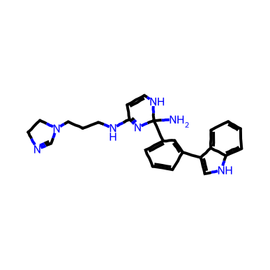 NC1(c2cccc(-c3c[nH]c4ccccc34)c2)N=C(NCCCN2C=NCC2)C=CN1